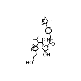 Cc1ncsc1-c1ccc(CNC(=O)[C@@H]2C[C@@H](O)CN2C(=O)C(c2cc(CCCO)no2)C(C)C)cc1